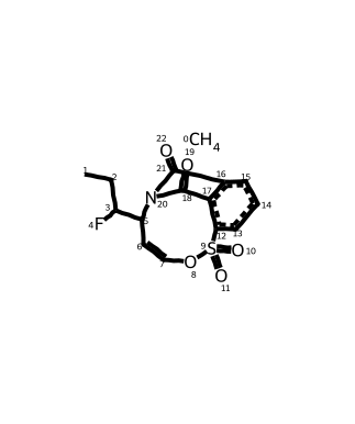 C.CCC(F)C1C=COS(=O)(=O)c2cccc3c2C(=O)N1C3=O